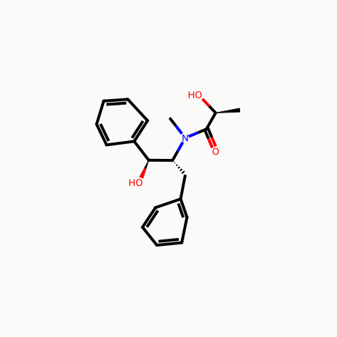 C[C@H](O)C(=O)N(C)[C@H](Cc1ccccc1)[C@@H](O)c1ccccc1